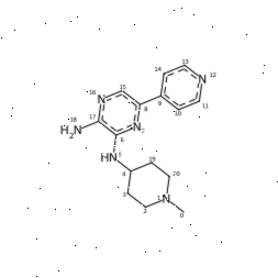 CN1CCC(Nc2nc(-c3ccncc3)cnc2N)CC1